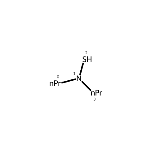 CCCN(S)CCC